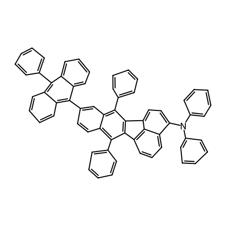 c1ccc(-c2c3c(c(-c4ccccc4)c4cc(-c5c6ccccc6c(-c6ccccc6)c6ccccc56)ccc24)-c2ccc(N(c4ccccc4)c4ccccc4)c4cccc-3c24)cc1